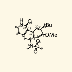 COc1cc(C(C)N(C)S(C)(=O)=O)c(-c2ccc[nH]c2=O)cc1C(C)(C)C